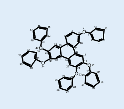 c1ccc(Oc2ccc3c(c2)c2cc(Oc4ccccc4)c(Oc4ccccc4)cc2c2cc(Oc4ccccc4)c(Oc4ccccc4)cc32)cc1